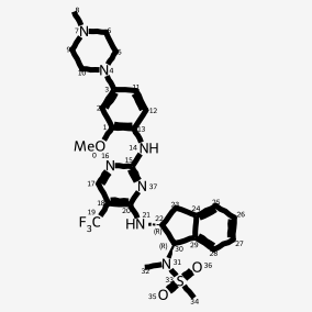 COc1cc(N2CCN(C)CC2)ccc1Nc1ncc(C(F)(F)F)c(N[C@@H]2Cc3ccccc3[C@H]2N(C)S(C)(=O)=O)n1